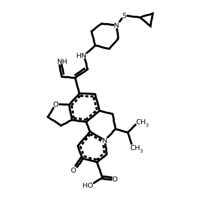 CC(C)C1Cc2cc(/C(C=N)=C/NC3CCN(SC4CC4)CC3)c3c(c2-c2cc(=O)c(C(=O)O)cn21)CCO3